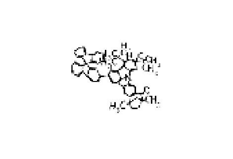 CC12CCC(C)(CC1)c1cc3c4cc(-c5ccc6c(c5)C5(c7ccccc7-c7ccccc75)c5ccccc5-6)cc5c6c(C(C)(C)C)cc(C(C)(C)C)cc6n(c3cc1C2=O)c45